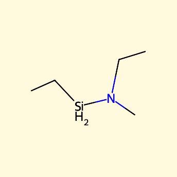 CC[SiH2]N(C)CC